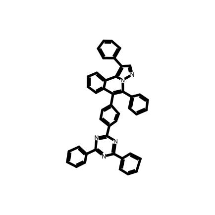 c1ccc(-c2nc(-c3ccccc3)nc(-c3ccc(-c4c(-c5ccccc5)n5ncc(-c6ccccc6)c5c5ccccc45)cc3)n2)cc1